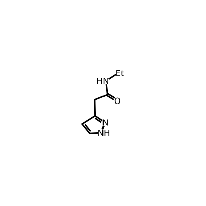 CCNC(=O)Cc1cc[nH]n1